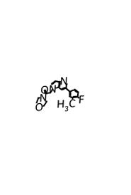 Cc1cc(-c2cnc3ccn(CC(=O)N4CCOCC4)c3c2)ccc1F